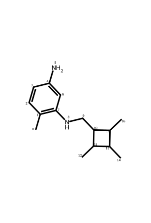 Cc1ccc(N)cc1NCC1C(C)C(C)C1C